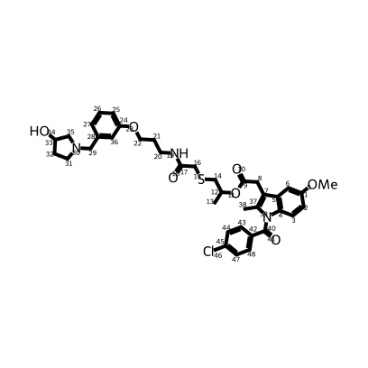 COc1ccc2c(c1)c(CC(=O)OC(C)CSCC(=O)NCCCOc1cccc(CN3CCC(O)C3)c1)c(C)n2C(=O)c1ccc(Cl)cc1